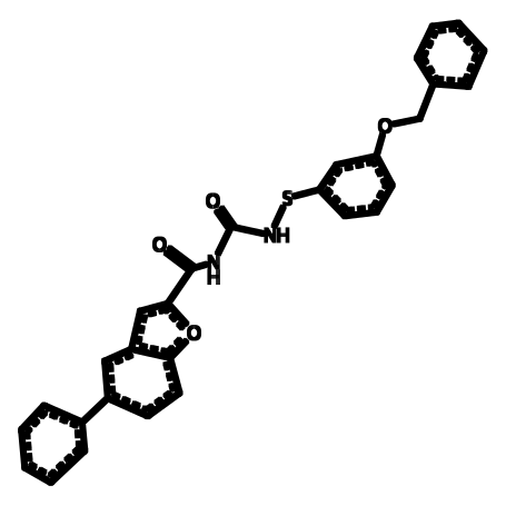 O=C(NSc1cccc(OCc2ccccc2)c1)NC(=O)c1cc2cc(-c3ccccc3)ccc2o1